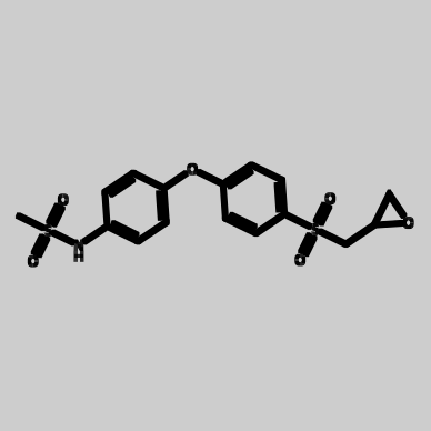 CS(=O)(=O)Nc1ccc(Oc2ccc(S(=O)(=O)CC3CO3)cc2)cc1